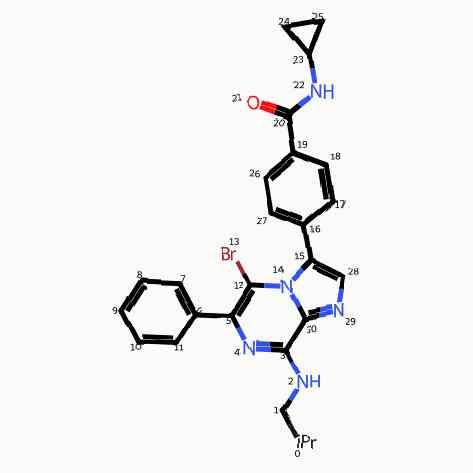 CC(C)CNc1nc(-c2ccccc2)c(Br)n2c(-c3ccc(C(=O)NC4CC4)cc3)cnc12